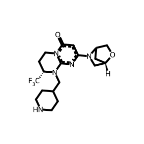 O=c1cc(N2C[C@@H]3CC2CO3)nc2n1CC[C@@H](C(F)(F)F)N2CC1CCNCC1